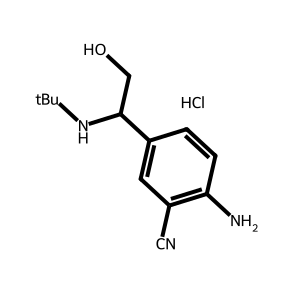 CC(C)(C)NC(CO)c1ccc(N)c(C#N)c1.Cl